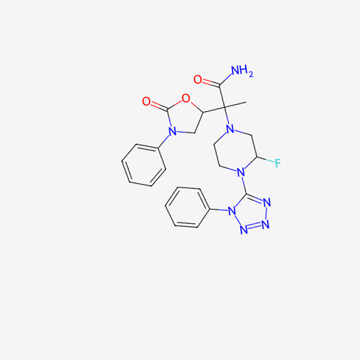 CC(C(N)=O)(C1CN(c2ccccc2)C(=O)O1)N1CCN(c2nnnn2-c2ccccc2)C(F)C1